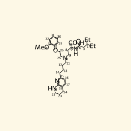 CCC(CC)CC(=O)N[C@@H](CCN(CCCCc1ccc2c(n1)NCCC2)CCOc1ccccc1OC)C(=O)O